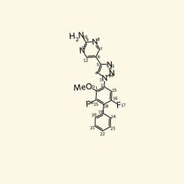 COc1c(-n2cc(-c3cnc(N)nc3)nn2)cc(F)c(-c2ccccc2)c1F